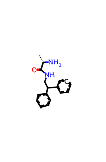 C[C@H](N)C(=O)NCC(c1ccccc1)c1ccccc1